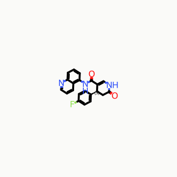 O=C1C[C@@H](c2ccc(F)cc2)C(C(=O)Nc2cccc3ncccc23)=CN1